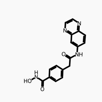 O=C(Cc1ccc(C(=O)NO)cc1)Nc1ccc2nccnc2c1